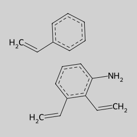 C=Cc1cccc(N)c1C=C.C=Cc1ccccc1